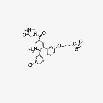 C=C(/C=C(/c1cccc(OCCCOS(C)(=O)=O)c1)N(N)c1cccc(Cl)c1)C(=O)N1CNC(=O)C1